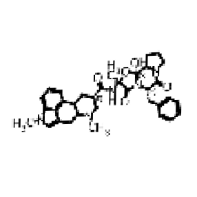 CN1C[C@H](C(=O)N[C@]2(C)O[C@@]3(O)C4CCCN4C(=O)[C@H](Cc4ccccc4)N3C2=O)CC2c3cccc4c3c(cn4C)CC21